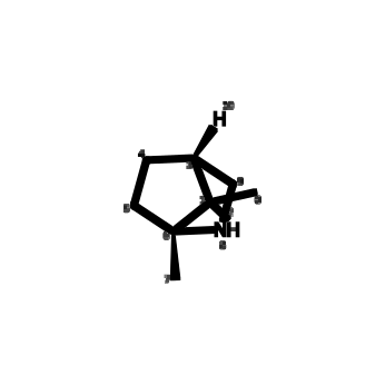 CC1(C)[C@@H]2CC[C@@]1(C)NC2